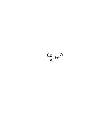 [Al].[Co].[Fe].[Zr]